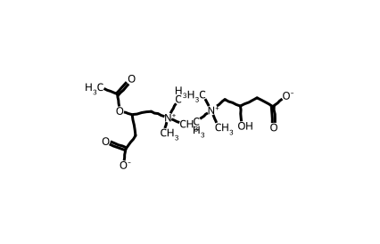 CC(=O)OC(CC(=O)[O-])C[N+](C)(C)C.C[N+](C)(C)CC(O)CC(=O)[O-]